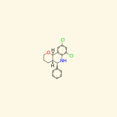 Clc1cc(Cl)c2c(c1)[C@H]1OCCC[C@H]1[C@H](c1ccccc1)N2